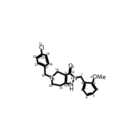 COc1ccccc1Cn1[nH]c2c(c1=O)CN(Cc1ccc(Cl)cc1)CC2